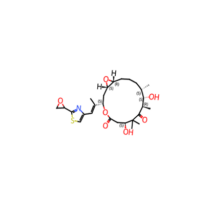 CC(=Cc1csc(C2CO2)n1)[C@@H]1C[C@@H]2O[C@@H]2CCC[C@H](C)[C@H](O)[C@@H](C)C(=O)C(C)(C)[C@@H](O)CC(=O)O1